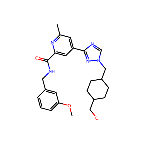 COc1cccc(CNC(=O)c2cc(-c3ncn(CC4CCC(CO)CC4)n3)cc(C)n2)c1